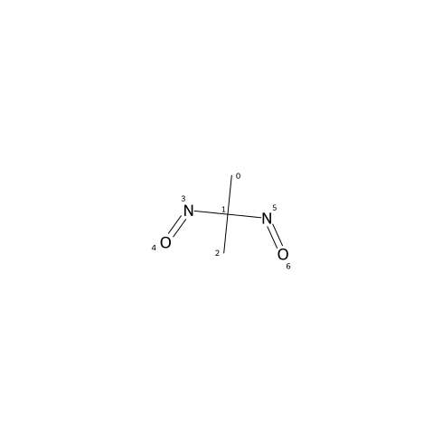 CC(C)(N=O)N=O